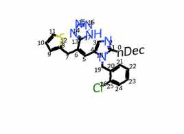 CCCCCCCCCCc1ncc(C=C(Cc2cccs2)c2nnn[nH]2)n1Cc1ccccc1Cl